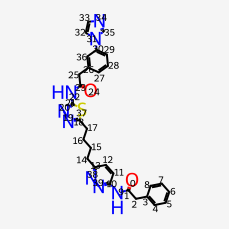 O=C(Cc1ccccc1)Nc1ccc(CCCCc2nnc(NC(=O)Cc3cccc(-n4ccnc4)c3)s2)nn1